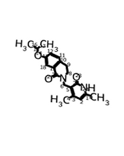 Cc1cc(C)c(CN2CCc3ccc(OC(C)C)cc3C2=O)c(=O)[nH]1